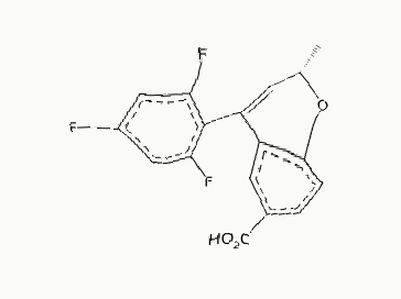 C[C@H]1C=C(c2c(F)cc(F)cc2F)c2cc(C(=O)O)ccc2O1